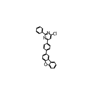 Clc1cc(-c2ccc(-c3ccc4oc5ccccc5c4c3)cc2)nc(-c2ccccc2)n1